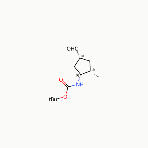 C[C@H]1C[C@@H](C=O)C[C@H]1NC(=O)OC(C)(C)C